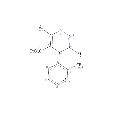 CCOC(=O)C1=C(CC)NN=C(CC)C1c1ccccc1C(F)(F)F